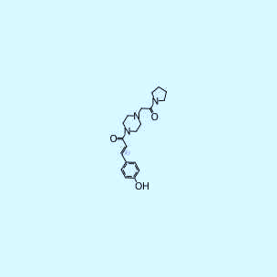 O=C(/C=C/c1ccc(O)cc1)N1CCN(CC(=O)N2CCCC2)CC1